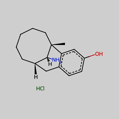 C[C@@]12CCCCC[C@@H](Cc3ccc(O)cc31)[C@H]2N.Cl